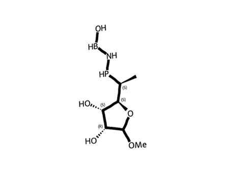 COC1O[C@H]([C@H](C)PNBO)[C@@H](O)[C@H]1O